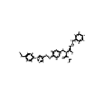 CCc1ccc(-n2cc(COc3ccc(CC(C(=O)OC)C(C)=NOCc4ccccc4)cc3)cn2)cc1